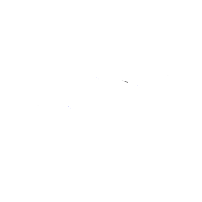 Cc1c(F)c(N2CC[C@@H](C(C)(C)NC(=O)OC(C)(C)C)C2)cc2c1c(=O)c(C(=O)O)cn2-c1ccc(F)cc1F